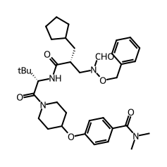 CN(C)C(=O)c1ccc(OC2CCN(C(=O)[C@@H](NC(=O)[C@H](CC3CCCC3)CN(C=O)OCc3ccccc3)C(C)(C)C)CC2)cc1